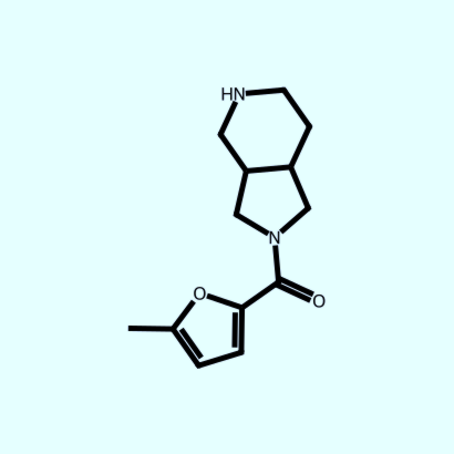 Cc1ccc(C(=O)N2CC3CCNCC3C2)o1